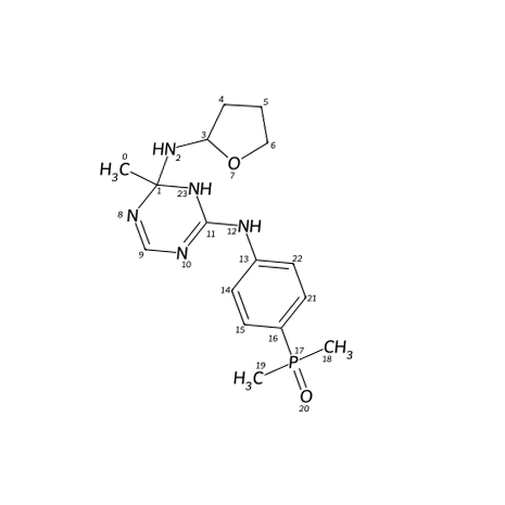 CC1(NC2CCCO2)N=CN=C(Nc2ccc(P(C)(C)=O)cc2)N1